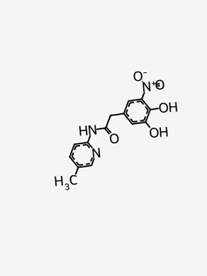 Cc1ccc(NC(=O)Cc2cc(O)c(O)c([N+](=O)[O-])c2)nc1